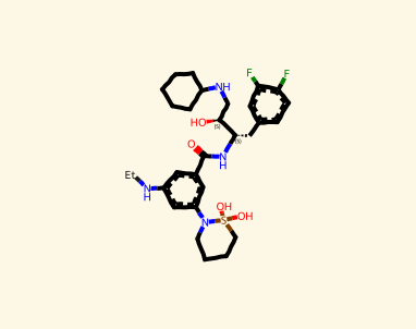 CCNc1cc(C(=O)N[C@@H](Cc2ccc(F)c(F)c2)[C@@H](O)CNC2CCCCC2)cc(N2CCCCS2(O)O)c1